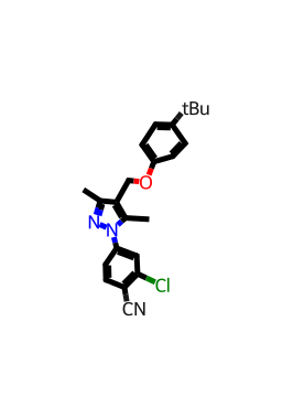 Cc1nn(-c2ccc(C#N)c(Cl)c2)c(C)c1COc1ccc(C(C)(C)C)cc1